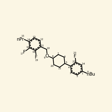 CCCCc1ccc(C2CCC(OCc3ccc(CCC)c(F)c3F)CC2)c(F)c1